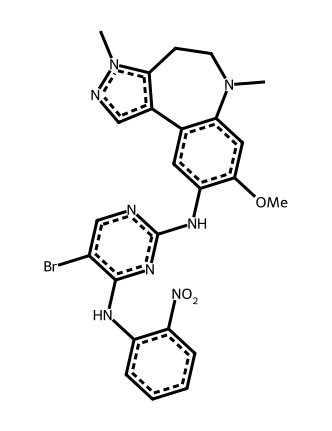 COc1cc2c(cc1Nc1ncc(Br)c(Nc3ccccc3[N+](=O)[O-])n1)-c1cnn(C)c1CCN2C